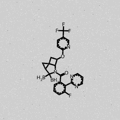 BC1(B)C2CC23CC(Oc2ccc(C(F)(F)F)cn2)C3N1C(=O)c1cccc(F)c1-c1ncccn1